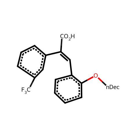 CCCCCCCCCCOc1ccccc1C=C(C(=O)O)c1cccc(C(F)(F)F)c1